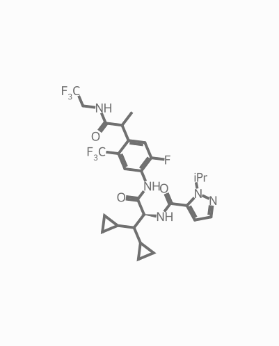 CC(C(=O)NCC(F)(F)F)c1cc(F)c(NC(=O)[C@@H](NC(=O)c2ccnn2C(C)C)C(C2CC2)C2CC2)cc1C(F)(F)F